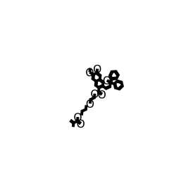 C=C(C)C(=O)OCCCCOCCOC(=O)c1cc2cc(OC)c(OC)cc2c2c1C=CC(c1ccccc1)(c1ccccc1)O2